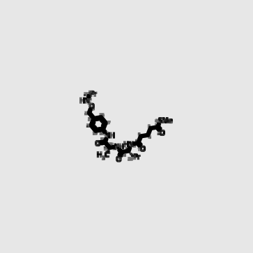 CSC(=O)CCCC(=O)N[C@@H](C(=O)N[C@H](C)C(=O)Nc1ccc(CONC(C)C)cc1)C(C)C